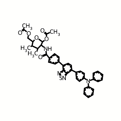 CC(=O)OCC1OC(OC(C)=O)C(NC(=O)c2ccc(-c3ccc(-c4ccc(N(c5ccccc5)c5ccccc5)cc4)c4nsnc34)cc2)C(C)C1C